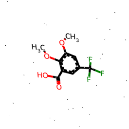 COc1cc(C(F)(F)F)cc(C(=O)O)c1OC